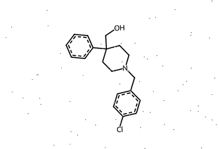 OCC1(c2ccccc2)CCN(Cc2ccc(Cl)cc2)CC1